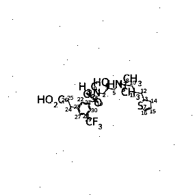 CN(C[C@H](O)CNC(C)(C)CCCC1CC=CS1)S(=O)(=O)c1cc(CCC(=O)O)cc(C(F)(F)F)c1